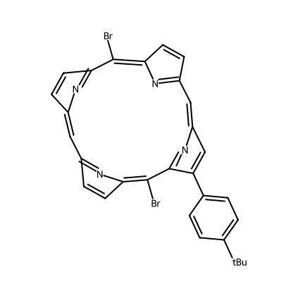 CC(C)(C)c1ccc(C2=CC3=CC4=NC(=C(Br)C5=NC(=CC6=NC(=C(Br)C2=N3)C=C6)C=C5)C=C4)cc1